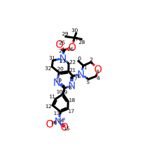 CC1COCCN1c1nc(-c2ccc([N+](=O)[O-])cc2)nc2c1CN(C(=O)OC(C)(C)C)CC2